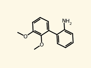 COc1cccc(-c2ccccc2N)c1OC